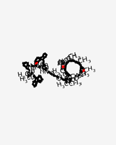 CO[C@@H]1/C=C/C=C(\C)Cc2cc(C)c(Cl)c(c2)N(C)C(=O)C[C@H](OC(=O)[C@H](C)N(C)C(=O)CCOCCOCCNC(=O)CN(CCNC(=O)CCn2c(CN(C)N(C)C(=O)OCC3c4ccccc4-c4ccccc43)cc3ccccc32)C(=O)OCC2c3ccccc3-c3ccccc32)C2(C)OC2[C@H](C)[C@@H]2C[C@@]1(O)NC(=O)O2